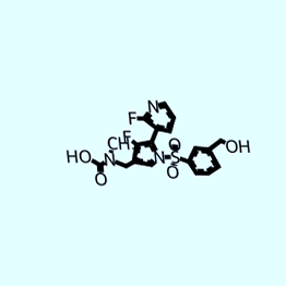 CN(Cc1cn(S(=O)(=O)c2cccc(CO)c2)c(-c2cccnc2F)c1F)C(=O)O